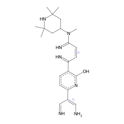 CN(C(=N)/C=C\C(=N)c1ccc(/C(C=N)=C/N)nc1O)C1CC(C)(C)NC(C)(C)C1